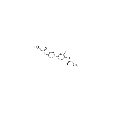 C=CC(=O)Oc1ccc(-c2ccc(SC(=O)C=C)cc2)cc1F